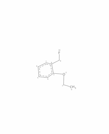 C[CH]Oc1ccccc1CF